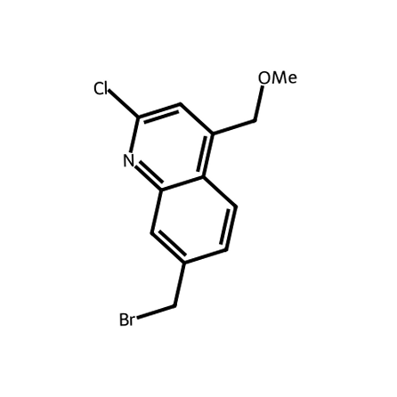 COCc1cc(Cl)nc2cc(CBr)ccc12